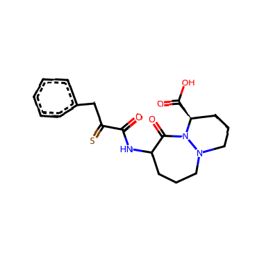 O=C(NC1CCCN2CCC[C@H](C(=O)O)N2C1=O)C(=S)Cc1ccccc1